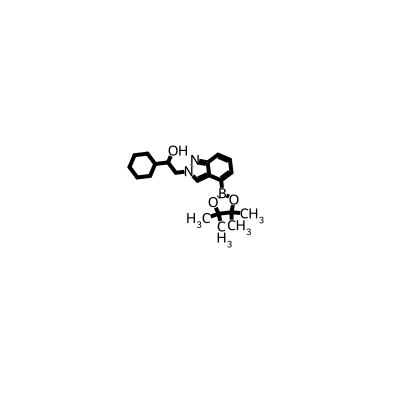 CC1(C)OB(c2cccc3nn(CC(O)C4CCCCC4)cc23)OC1(C)C